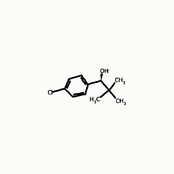 CC(C)(C)[C@H](O)c1ccc(Cl)cc1